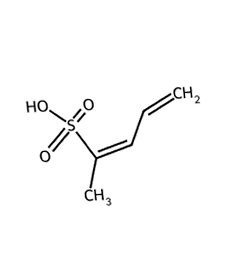 C=C/C=C(/C)S(=O)(=O)O